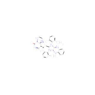 Cc1cccc(C)c1N1C(=C/C=C2/C=NC(=O)c3nccnc32)N(c2c(C)cccc2C)c2nc3ccccc3nc21